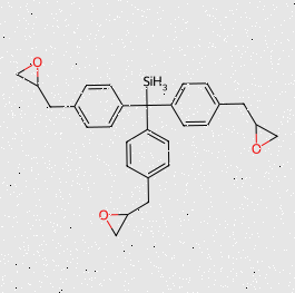 [SiH3]C(c1ccc(CC2CO2)cc1)(c1ccc(CC2CO2)cc1)c1ccc(CC2CO2)cc1